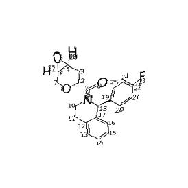 O=C([C@H]1C[C@@H]2O[C@@H]2CO1)N1CCc2ccccc2[C@@H]1c1ccc(F)cc1